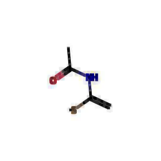 C=C([S])NC(C)=O